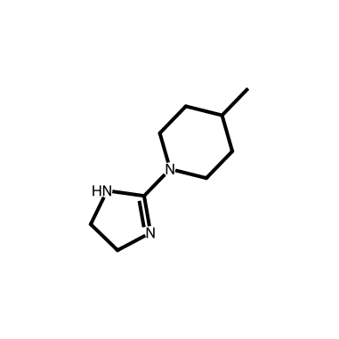 CC1CCN(C2=NCCN2)CC1